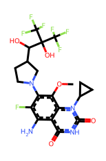 COc1c(N2CCC(C(O)C(O)(C(F)(F)F)C(F)(F)F)C2)c(F)c(N)c2c(=O)[nH]c(=O)n(C3CC3)c12